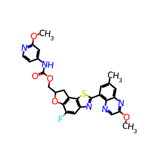 COc1cc(NC(=O)OCC2Cc3c(c(F)cc4nc(-c5cc(C)cc6nc(OC)cnc56)sc34)O2)ccn1